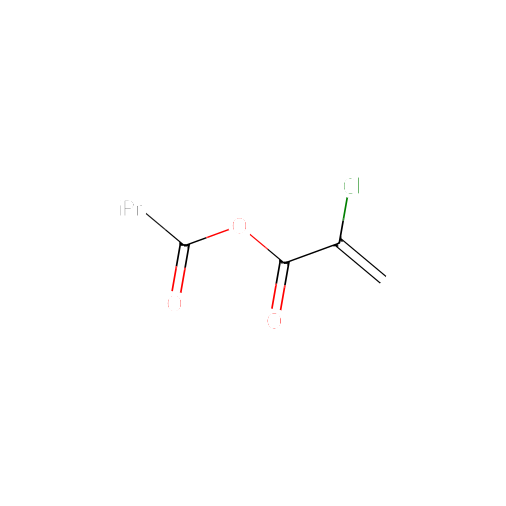 C=C(Cl)C(=O)OC(=O)C(C)C